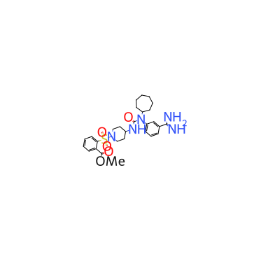 COC(=O)c1ccccc1S(=O)(=O)N1CCC(NC(=O)N(c2cccc(C(=N)N)c2)C2CCCCCC2)CC1